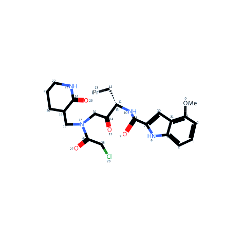 COc1cccc2[nH]c(C(=O)N[C@@H](CC(C)C)C(=O)CN(CC3CCCNC3=O)C(=O)CCl)cc12